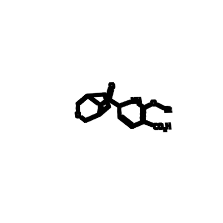 CCOC1=C(C(=O)O)C=CC(C(=O)N2C3CCC2COC3)N1